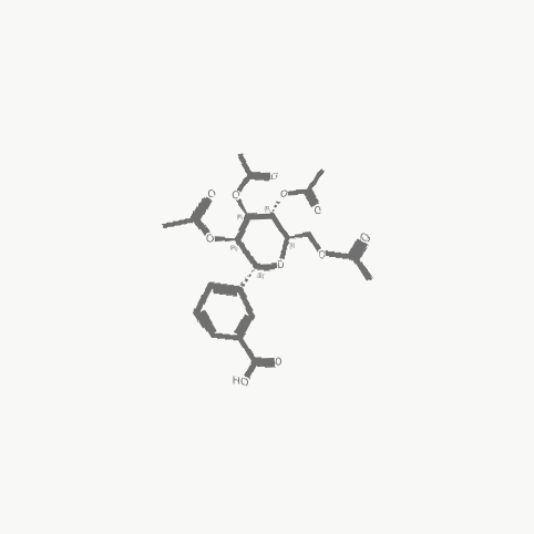 CC(=O)OC[C@H]1O[C@H](c2cccc(C(=O)O)c2)[C@@H](OC(C)=O)[C@@H](OC(C)=O)[C@@H]1OC(C)=O